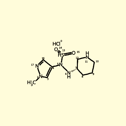 Cl.Cn1cc(N(N[C@H]2CCCNC2)[SH](=O)=O)cn1